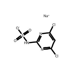 O=S(=O)([O-])Nc1nc(Cl)cc(Cl)n1.[Na+]